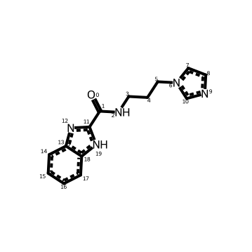 O=C(NCCCn1ccnc1)c1nc2ccccc2[nH]1